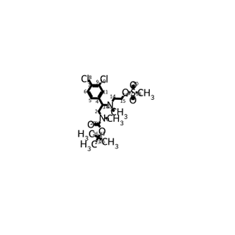 CN(CC(c1ccc(Cl)c(Cl)c1)N(C)CCOS(C)(=O)=O)C(=O)OC(C)(C)C